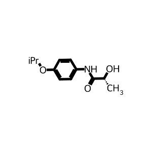 CC(C)Oc1ccc(NC(=O)[C@@H](C)O)cc1